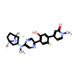 CN(c1cnc(-c2cc(F)c(-c3ccn(C)c(=O)c3)cc2O)cn1)[C@@H]1C[C@H]2CC[C@H](N2)[C@@H]1F